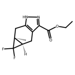 CCOC(=O)c1n[nH]c2c1C[C@H]1C(F)(F)[C@@]1(C)C2